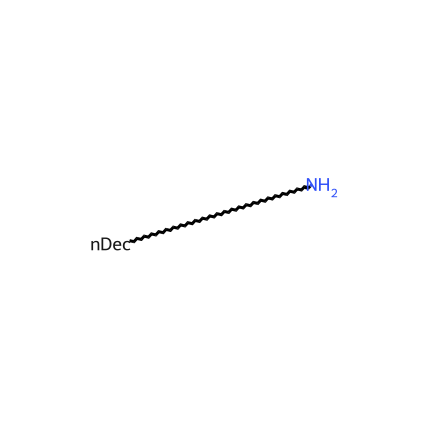 CCCCCCCCCCCCCCCCCCCCCCCCCCCCCCCCCCCCCCCCCCCCCCCCCCCCCCCCCC/C=C/N